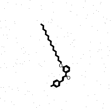 CCCCCCCCCCCCCCCCOc1cccc(C(=O)C=Cc2ccc(C)cc2)c1